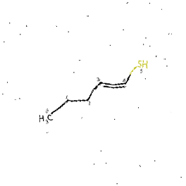 CCC/C=C/S